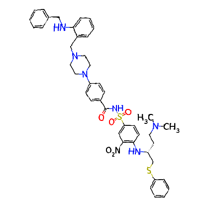 CN(C)CC[C@H](CSc1ccccc1)Nc1ccc(S(=O)(=O)NC(=O)c2ccc(N3CCN(Cc4ccccc4NCc4ccccc4)CC3)cc2)cc1[N+](=O)[O-]